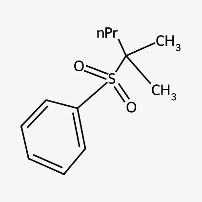 [CH2]CCC(C)(C)S(=O)(=O)c1ccccc1